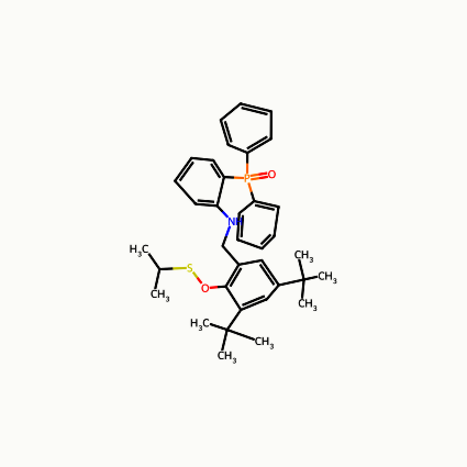 CC(C)SOc1c(CNc2ccccc2P(=O)(c2ccccc2)c2ccccc2)cc(C(C)(C)C)cc1C(C)(C)C